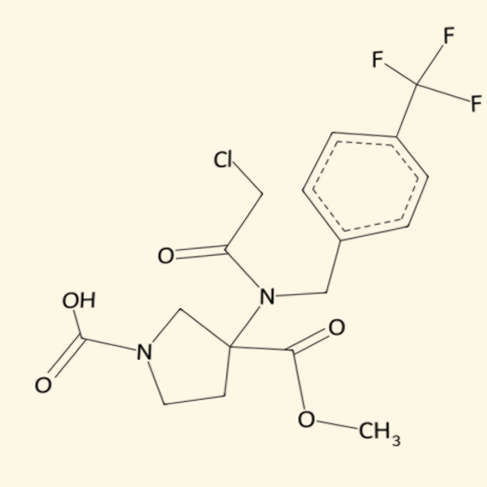 COC(=O)C1(N(Cc2ccc(C(F)(F)F)cc2)C(=O)CCl)CCN(C(=O)O)C1